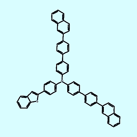 c1ccc2cc(-c3ccc(-c4ccc(N(c5ccc(-c6ccc(-c7ccc8ccccc8c7)cc6)cc5)c5ccc(-c6cc7ccccc7s6)cc5)cc4)cc3)ccc2c1